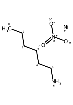 CCCCCC[NH3+].O=[N+]([O-])[O-].[Ni]